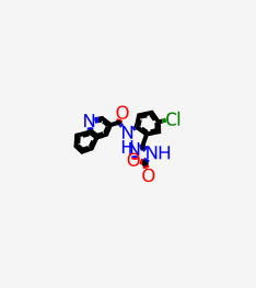 O=C(Nc1ccc(Cl)cc1-c1noc(=O)[nH]1)c1cnc2ccccc2c1